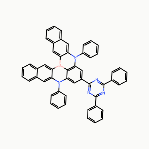 c1ccc(-c2nc(-c3ccccc3)nc(-c3cc4c5c(c3)N(c3ccccc3)c3cc6ccccc6cc3B5c3cc5ccccc5cc3N4c3ccccc3)n2)cc1